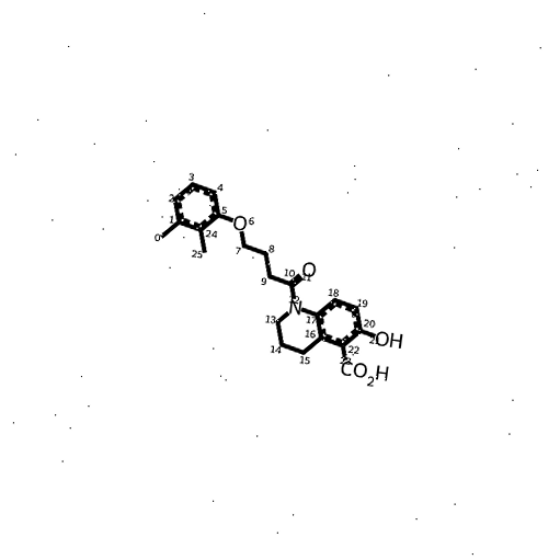 Cc1cccc(OCCCC(=O)N2CCCc3c2ccc(O)c3C(=O)O)c1C